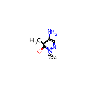 Cc1c(N)cnn(C(C)(C)C)c1=O